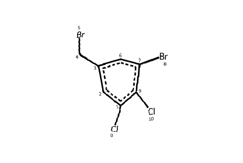 Clc1cc(CBr)cc(Br)c1Cl